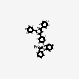 Brc1c2ccccc2n2c3ccccc3n(-c3ccc(-c4cc(-c5ccccc5)nc(-c5ccccc5)n4)cc3)c12